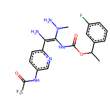 CC(OC(=O)N/C(=C(/N)c1ccc(NC(=O)C(F)(F)F)cn1)N(C)N)c1cccc(F)c1